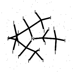 IC(I)(I)C(I)(I)N(C(I)(C(I)(I)I)C(I)(I)I)C(I)(C(I)(I)I)C(I)(I)I